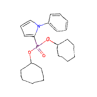 O=P(OC1CCCCC1)(OC1CCCCC1)c1cccn1-c1ccccc1